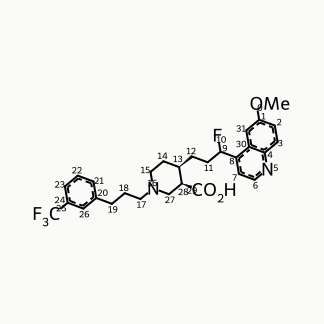 COc1ccc2nccc(C(F)CC[C@@H]3CCN(CCCc4cccc(C(F)(F)F)c4)C[C@@H]3C(=O)O)c2c1